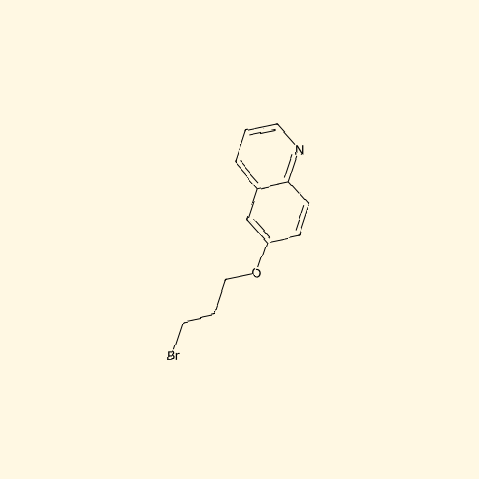 BrCCCOc1ccc2ncccc2c1